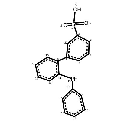 O=S(=O)(O)c1cccc(-c2ccccc2Pc2ccccc2)c1